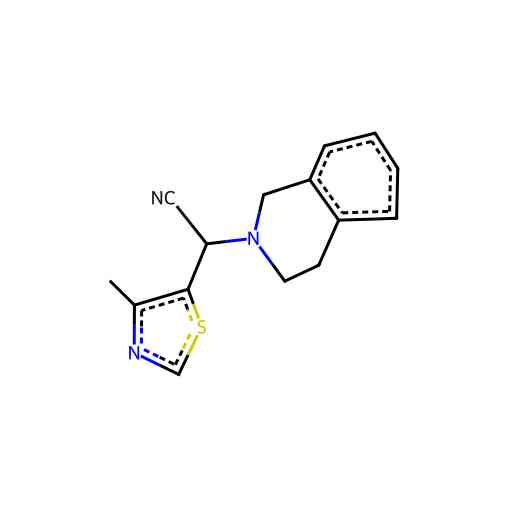 Cc1ncsc1C(C#N)N1CCc2ccccc2C1